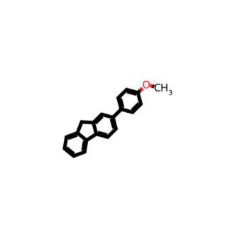 COc1ccc(-c2ccc3c(c2)Cc2ccccc2-3)cc1